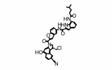 CC(C)CCC(=O)Nc1cccc2cc(C(=O)Nc3ccc4oc(C(=O)N5C[C@@H](CCl)c6c5cc(O)c5ccc(C#N)cc65)cc4c3)[nH]c12